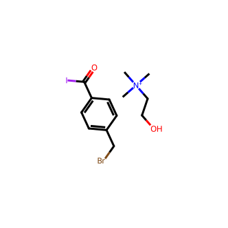 C[N+](C)(C)CCO.O=C(I)c1ccc(CBr)cc1